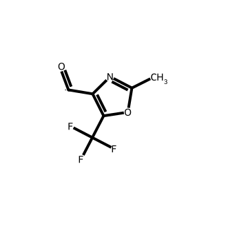 Cc1nc([C]=O)c(C(F)(F)F)o1